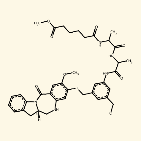 COC(=O)CCCCC(=O)NC(C)C(=O)NC(C)C(=O)Nc1cc(CCl)cc(COc2cc3c(cc2OC)C(=O)N2c4ccccc4C[C@H]2CN3)c1